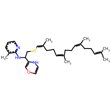 CC(C)=CCCC(C)=CCCC(C)=CCCC(C)=CSCC(Nc1ncccc1C)C1=COC=CN1